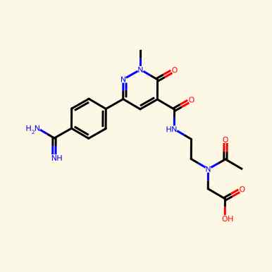 CC(=O)N(CCNC(=O)c1cc(-c2ccc(C(=N)N)cc2)nn(C)c1=O)CC(=O)O